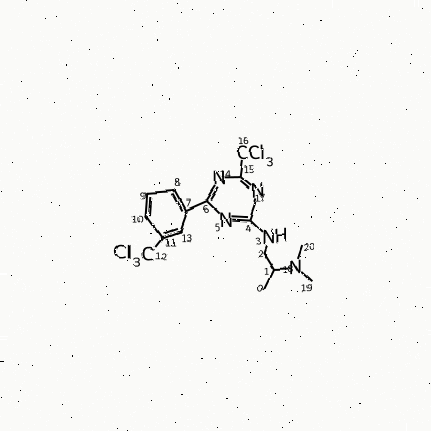 CC(CNc1nc(-c2cccc(C(Cl)(Cl)Cl)c2)nc(C(Cl)(Cl)Cl)n1)N(C)C